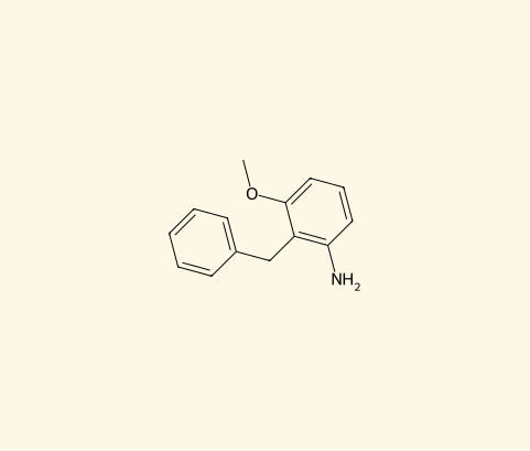 COc1cccc(N)c1Cc1ccccc1